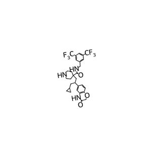 O=C1COc2ccc(C(CC3CC3)CC3(C(=O)NCc4cc(C(F)(F)F)cc(C(F)(F)F)c4)CCNCC3)cc2N1